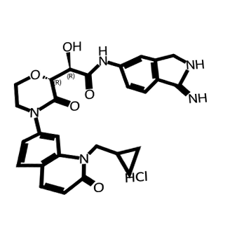 Cl.N=C1NCc2cc(NC(=O)[C@H](O)[C@H]3OCCN(c4ccc5ccc(=O)n(CC6CC6)c5c4)C3=O)ccc21